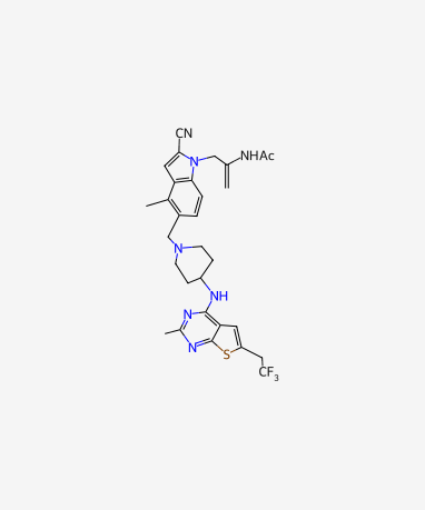 C=C(Cn1c(C#N)cc2c(C)c(CN3CCC(Nc4nc(C)nc5sc(CC(F)(F)F)cc45)CC3)ccc21)NC(C)=O